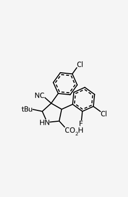 CC(C)(C)C1NC(C(=O)O)C(c2cccc(Cl)c2F)C1(C#N)c1ccc(Cl)cc1